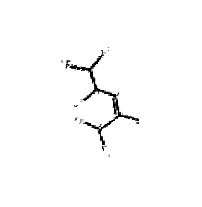 CC(=CC(F)C(F)F)C(F)F